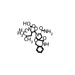 CC(C)CC(C(=O)N1CC2(C[C@H]1C(N)=O)OCc1ccccc1NC2=O)N(C)C(=O)O